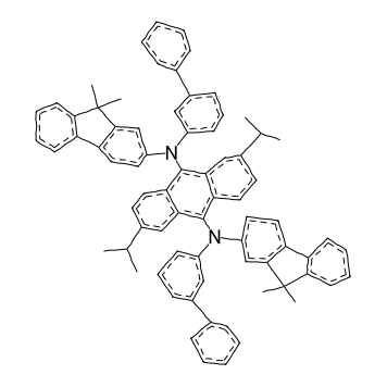 CC(C)c1ccc2c(N(c3cccc(-c4ccccc4)c3)c3ccc4c(c3)C(C)(C)c3ccccc3-4)c3cc(C(C)C)ccc3c(N(c3cccc(-c4ccccc4)c3)c3ccc4c(c3)C(C)(C)c3ccccc3-4)c2c1